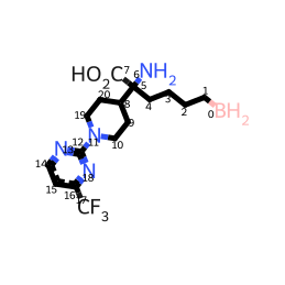 BCCCCC(N)(C(=O)O)C1CCN(c2nccc(C(F)(F)F)n2)CC1